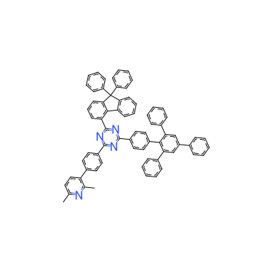 Cc1ccc(-c2ccc(-c3nc(-c4ccc(-c5c(-c6ccccc6)cc(-c6ccccc6)cc5-c5ccccc5)cc4)nc(-c4cccc5c4-c4ccccc4C5(c4ccccc4)c4ccccc4)n3)cc2)c(C)n1